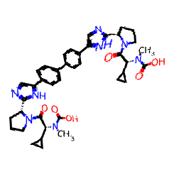 CN(C(=O)O)[C@@H](C(=O)N1CCC[C@@H]1c1ncc(-c2ccc(-c3ccc(-c4cnc([C@H]5CCCN5C(=O)[C@@H](C5CC5)N(C)C(=O)O)[nH]4)cc3)cc2)[nH]1)C1CC1